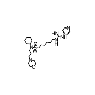 N=C(NCCCCCCS(=O)(=O)N(CCCN1CCOCC1)C1CCCCC1)Nc1ccncc1